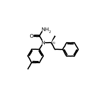 Cc1ccc(N(C(N)=O)[C@@H](C)Cc2ccccc2)cc1